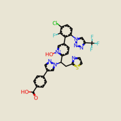 O=C(O)c1ccc(-c2cnn(C(Cc3nccs3)c3ccc(-c4c(-n5cc(C(F)(F)F)nn5)ccc(Cl)c4F)c[n+]3O)c2)cc1